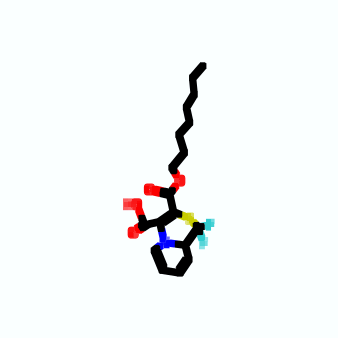 CCCCCCCCOC(=O)C1=C(C(=O)O)N2C=CC=CC2C(F)(F)S1